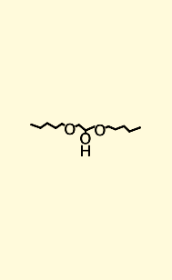 CCCCCOCC(O)COCCCCC